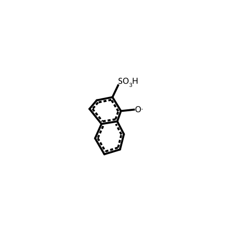 [O]c1c(S(=O)(=O)O)ccc2ccccc12